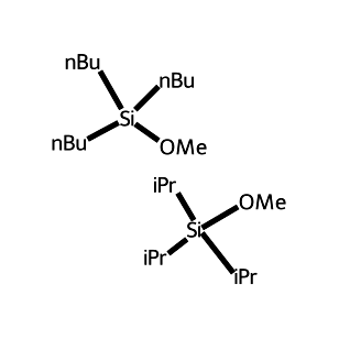 CCCC[Si](CCCC)(CCCC)OC.CO[Si](C(C)C)(C(C)C)C(C)C